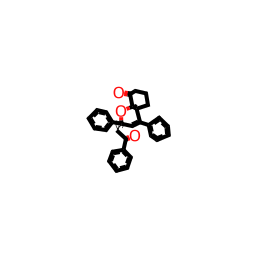 O=C1CCCC2=C1O[C@](CC(=O)c1ccccc1)(c1ccccc1)C=C2c1ccccc1